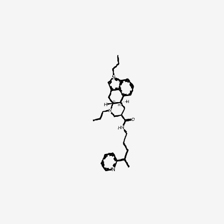 CCCN1CC(C(=O)NCCCC(C)c2ccccn2)C[C@@H]2c3cccc4c3c(cn4CCC)C[C@H]21